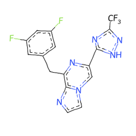 Fc1cc(F)cc(Cc2nc(-c3nc(C(F)(F)F)n[nH]3)cn3ccnc23)c1